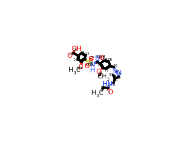 CCC(=O)NCc1cnn(Cc2cc(OC)c3c(NS(=O)(=O)c4ccc(C(=O)O)cc4OC)noc3c2)c1